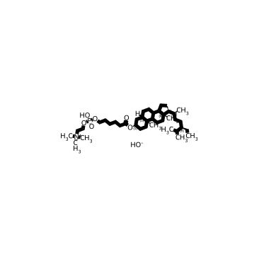 CC[C@H](CC[C@@H](C)[C@H]1CCC2C3CC[C@H]4C[C@@H](OC(=O)CCCCCOP(=O)(O)OCC[N+](C)(C)C)CC[C@]4(C)C3CC[C@@]21C)C(C)C.[OH-]